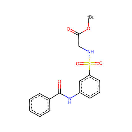 CC(C)(C)OC(=O)CNS(=O)(=O)c1cccc(NC(=O)c2ccccc2)c1